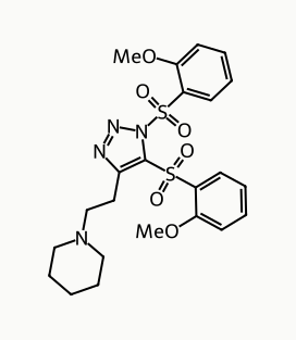 COc1ccccc1S(=O)(=O)c1c(CCN2CCCCC2)nnn1S(=O)(=O)c1ccccc1OC